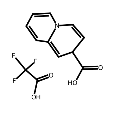 O=C(O)C(F)(F)F.O=C(O)C1C=CN2C=CC=CC2=C1